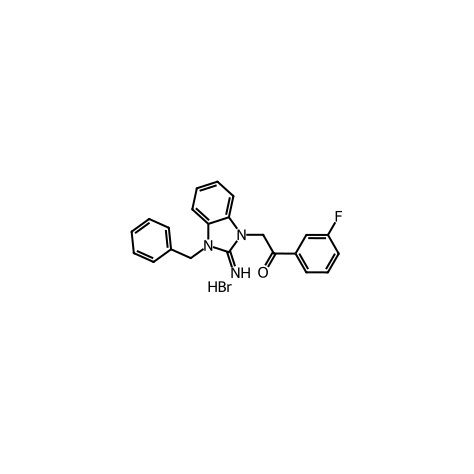 Br.N=c1n(CC(=O)c2cccc(F)c2)c2ccccc2n1Cc1ccccc1